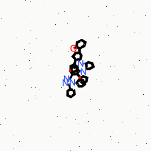 c1ccc(-c2nnc(-c3cccc4c3c3ccccc3n4-c3ccccc3-n3c4ccccc4c4cc5oc6ccccc6c5cc43)n2-c2ccccc2)cc1